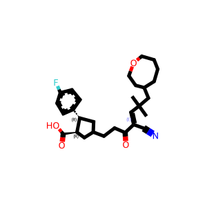 CC(C)(/C=C(\C#N)C(=O)CCC1C[C@@H](C(=O)O)[C@H](c2ccc(F)cc2)C1)CC1CCCCOCC1